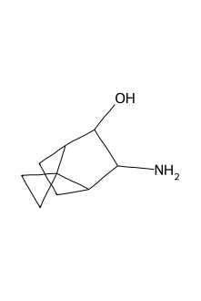 NC1C(O)C2CCC1C21CC1